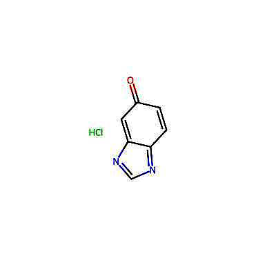 Cl.O=C1C=CC2=NC=NC2=C1